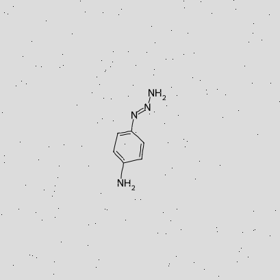 NN=Nc1ccc(N)cc1